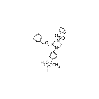 CC(C)(O)c1ccc(N2CCN(S(=O)(=O)c3cccs3)C[C@H]2COCc2ccccc2)cc1